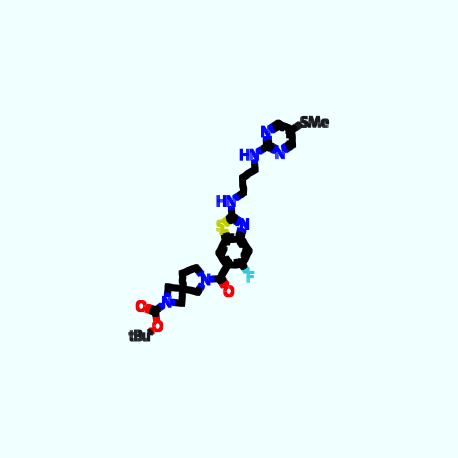 CSc1cnc(NCCCNc2nc3cc(F)c(C(=O)N4CCC5(CN(C(=O)OC(C)(C)C)C5)C4)cc3s2)nc1